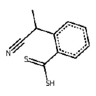 CC(C#N)c1ccccc1C(=S)S